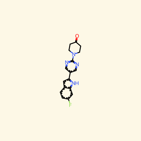 O=C1CCN(c2ncc(-c3cc4ccc(F)cc4[nH]3)cn2)CC1